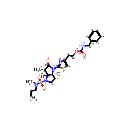 CCCN(C)S(=O)(=O)N1CC[C@H]2[C@H]1[C@H](C)C(=O)N2c1nc(CCOC(=O)NCc2ccccc2)cs1